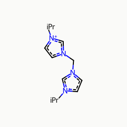 CC(C)[n+]1ccn(Cn2cc[n+](C(C)C)c2)c1